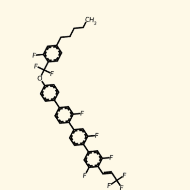 CCCCCc1ccc(C(F)(F)Oc2ccc(-c3ccc(-c4ccc(-c5cc(F)c(/C=C/C(F)(F)F)c(F)c5)c(F)c4)c(F)c3)cc2)c(F)c1